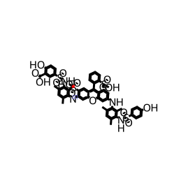 Cc1cc(C)c(NS(=O)(=O)c2ccc(O)c(C(=O)O)c2)c(C)c1/N=c1/cc2oc3cc(Nc4c(C)cc(C)c(NS(=O)(=O)c5ccc(O)cc5)c4C)ccc3c(-c3ccccc3S(=O)(=O)O)c-2cc1S(=O)(=O)O